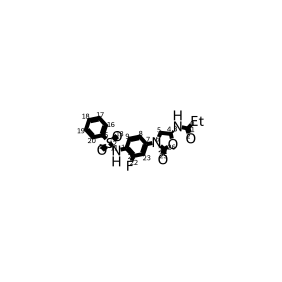 CCC(=O)N[C@@H]1CN(c2ccc(NS(=O)(=O)c3ccccc3)c(F)c2)C(=O)O1